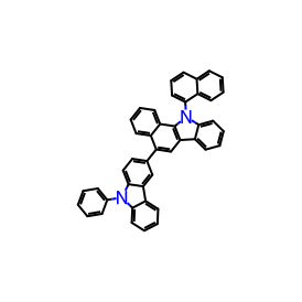 c1ccc(-n2c3ccccc3c3cc(-c4cc5c6ccccc6n(-c6cccc7ccccc67)c5c5ccccc45)ccc32)cc1